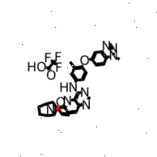 C=CC(=O)N1C2CCC1CC(c1ccc3ncnc(Nc4ccc(Oc5ccc6c(c5)nnn6C)c(C)c4)c3n1)C2.O=C(O)C(F)(F)F